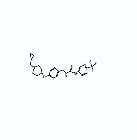 O=C(NCc1ccc(OC2CCN(CC3CC3)CC2)nc1)Nc1ccc(C(F)(F)F)nc1